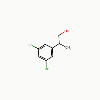 C[C](CO)c1cc(Br)cc(Br)c1